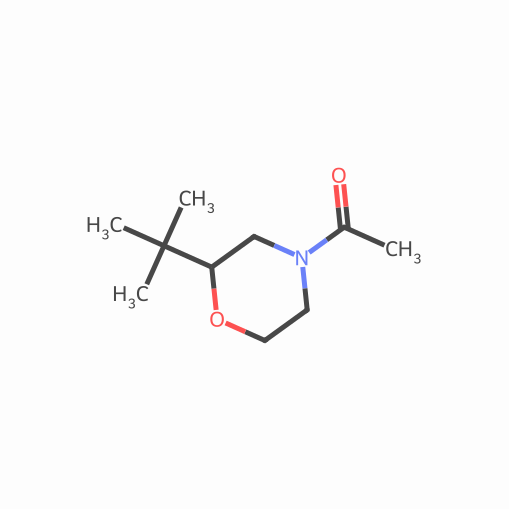 CC(=O)N1CCOC(C(C)(C)C)C1